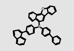 c1ccc(-c2ccc(N(c3ccc(-c4cccc5ccccc45)cc3)c3cc4c5ccccc5oc4c4ccccc34)cc2)cc1